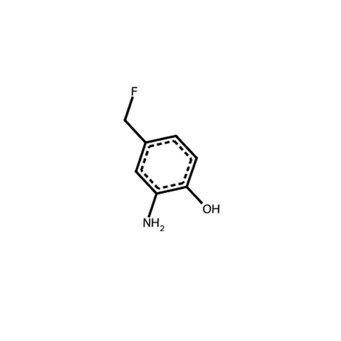 Nc1cc(CF)ccc1O